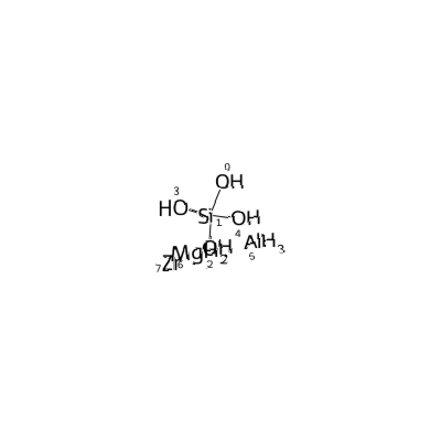 O[Si](O)(O)O.[AlH3].[MgH2].[Zr]